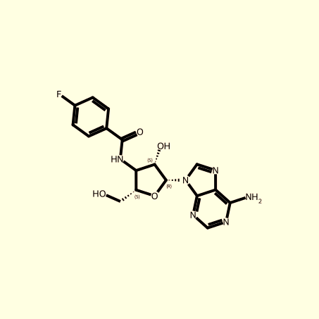 Nc1ncnc2c1ncn2[C@@H]1O[C@H](CO)C(NC(=O)c2ccc(F)cc2)[C@@H]1O